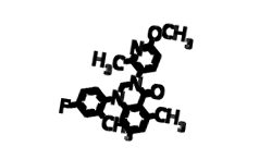 COc1ccc(N2CN(c3ccc(F)cc3C)c3cccc(C)c3C2=O)c(C)n1